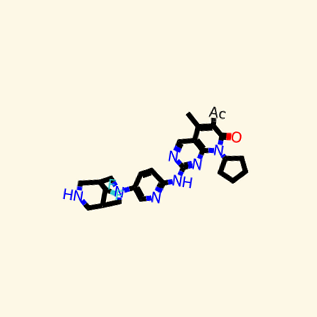 CC(=O)c1c(C)c2cnc(Nc3ccc(N4CC5CNCC(C4)C5(F)F)cn3)nc2n(C2CCCC2)c1=O